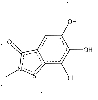 Cn1sc2c(Cl)c(O)c(O)cc2c1=O